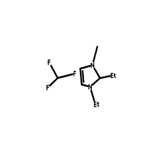 CCC1N(C)C=CN1CC.FC(F)F